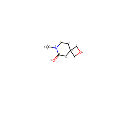 CN1CCC2(COC2)CC1=O